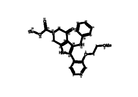 COCCOc1cnccc1-c1[nH]c2c(c1Nc1ccccc1)C(=O)CN(C(=O)OC(C)(C)C)C2